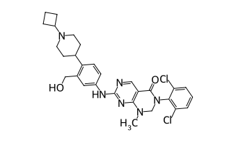 CN1CN(c2c(Cl)cccc2Cl)C(=O)c2cnc(Nc3ccc(C4CCN(C5CCC5)CC4)c(CO)c3)nc21